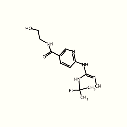 CCC(C)(C)N/C(=N\C#N)Nc1ccc(C(=O)NCCO)cn1